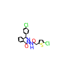 O=C(Cc1ccc(Cl)s1)Nn1nc(-c2ccc(Cl)cc2)c2ccccc2c1=O